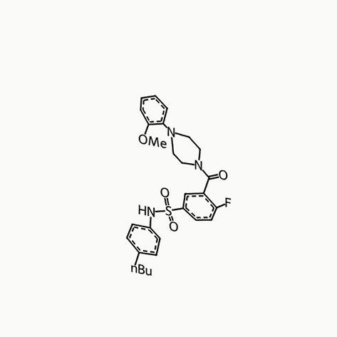 CCCCc1ccc(NS(=O)(=O)c2ccc(F)c(C(=O)N3CCN(c4ccccc4OC)CC3)c2)cc1